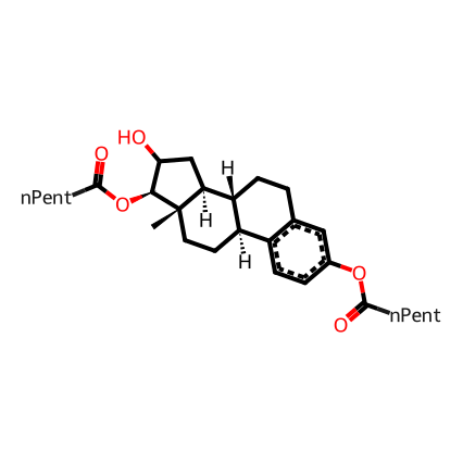 CCCCCC(=O)Oc1ccc2c(c1)CC[C@@H]1[C@@H]2CC[C@]2(C)[C@@H](OC(=O)CCCCC)C(O)C[C@@H]12